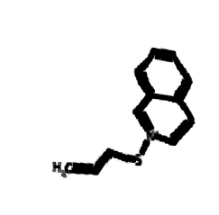 C=CCS[n+]1ccc2ccccc2c1